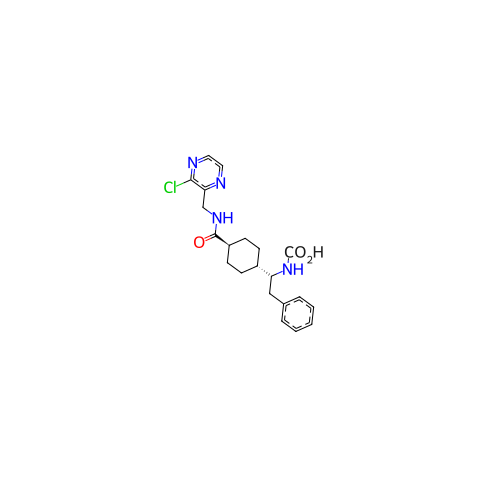 O=C(O)NC(Cc1ccccc1)[C@H]1CC[C@H](C(=O)NCc2nccnc2Cl)CC1